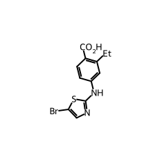 CCc1cc(Nc2ncc(Br)s2)ccc1C(=O)O